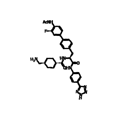 CC(=O)Nc1ccc(-c2ccc(C[C@H](NC(=O)[C@H]3CC[C@H](CN)CC3)C(=O)Nc3ccc(-c4nn[nH]n4)cc3)cc2)cc1F